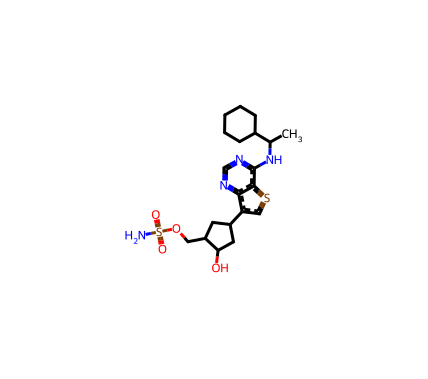 CC(Nc1ncnc2c(C3CC(O)C(COS(N)(=O)=O)C3)csc12)C1CCCCC1